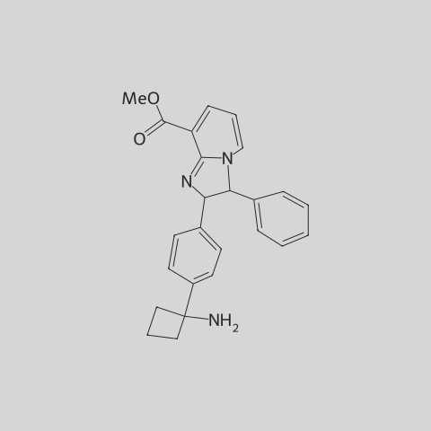 COC(=O)C1=CC=CN2C1=NC(c1ccc(C3(N)CCC3)cc1)C2c1ccccc1